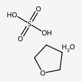 C1CCOC1.O.O=S(=O)(O)O